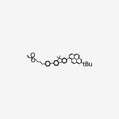 C=CC(=O)OCCCCc1ccc(-c2ccc3c(c2)C(C)(C)c2cc(C4=C5C=CC6=CC(C(C)(C)C)=CC7=CC=C(C=C4)C5C76)ccc2-3)cc1